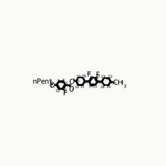 CCCCCOc1ccc(C(=O)OC2CCC(c3ccc(C4CCC(C)CC4)c(F)c3F)CC2)c(F)c1